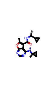 CCC(NC(=O)c1c(C)oc2ncnc(NC3(C)CC3)c12)C1CC1